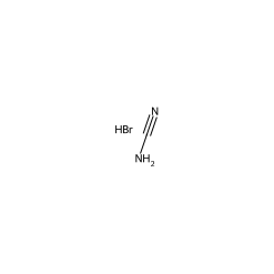 Br.N#CN